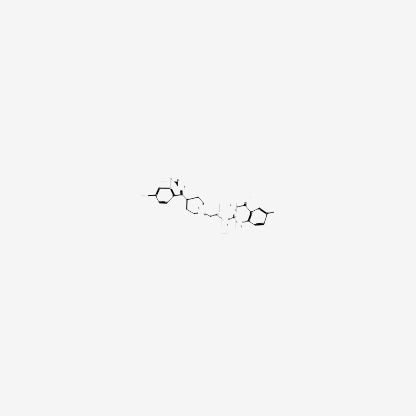 Cc1ccc2nc(NCCN3CCC(c4n[nH]c5cc(F)ccc45)CC3)[nH]c(=O)c2c1